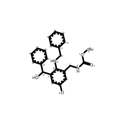 CC(C)(C)OC(=O)NCc1cc(Cl)cc(C(O)c2ccccc2)c1NCc1ccccc1